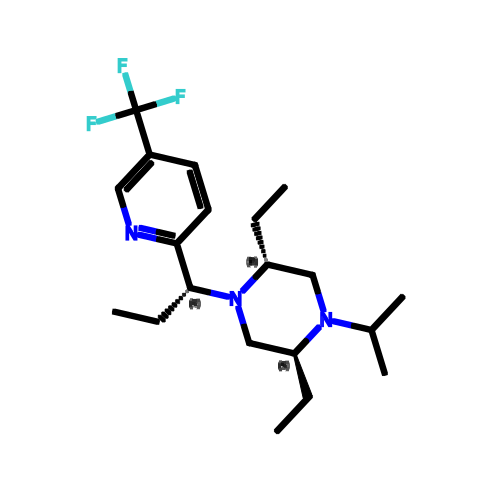 CC[C@H]1CN([C@H](CC)c2ccc(C(F)(F)F)cn2)[C@H](CC)CN1C(C)C